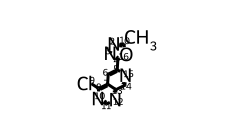 Cc1nnc(-c2cc3c(Cl)ncnc3cn2)o1